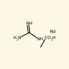 CC(=O)O.N=C(N)N.[Nd]